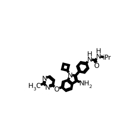 Cc1nccc(Oc2ccc3c(N)c(-c4ccc(NC(=O)NC(C)C)cc4)n(C4CCC4)c3c2)n1